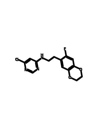 Fc1cc2c(cc1CCNc1cc(Cl)ncn1)OCCO2